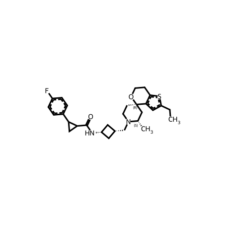 CCc1cc2c(s1)CCO[C@@]21CCN(C[C@H]2C[C@@H](NC(=O)C3CC3c3ccc(F)cc3)C2)[C@@H](C)C1